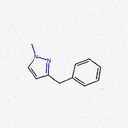 Cn1ccc(Cc2ccccc2)n1